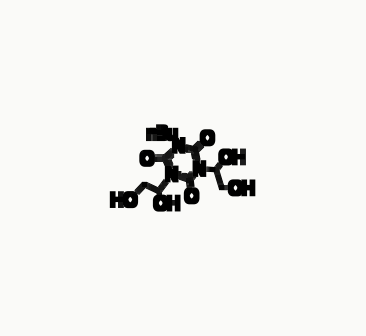 CCCCn1c(=O)n(C(O)CO)c(=O)n(C(O)CO)c1=O